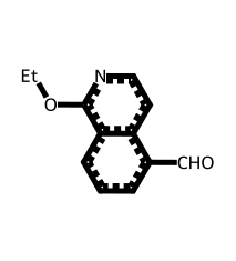 CCOc1nccc2c(C=O)cccc12